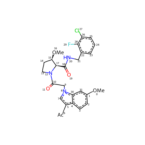 COc1ccc2c(C(C)=O)cn(CC(=O)N3CC[C@@H](OC)[C@H]3C(=O)NCc3cccc(Cl)c3F)c2c1